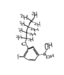 [2H]C([2H])([2H])C([2H])([2H])C([2H])([2H])C([2H])([2H])Oc1cc(B(O)O)ccc1F